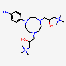 C[N+](C)(C)CC(O)CN1CCN(CC(O)C[N+](C)(C)C)CCN(c2ccc(N)cc2)CC1